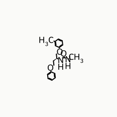 CNC(=O)N[C@@H](CCOc1ccccc1)COc1cccc(C)c1